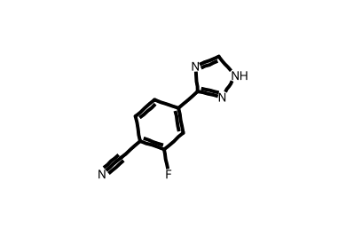 N#Cc1ccc(-c2nc[nH]n2)cc1F